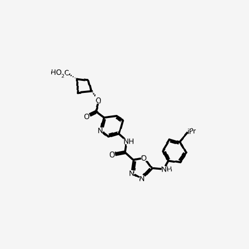 CC(C)c1ccc(Nc2nnc(C(=O)Nc3ccc(C(=O)O[C@H]4C[C@@H](C(=O)O)C4)nc3)o2)cc1